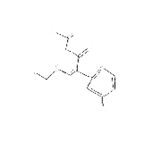 CCC(=O)CC(=O)/C(=C\NCC(C)C)c1cccc(Br)c1